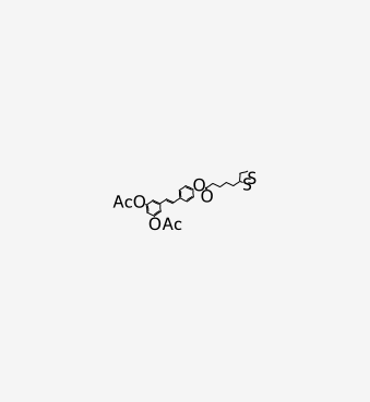 CC(=O)Oc1cc(C=Cc2ccc(OC(=O)CCCCC3CCSS3)cc2)cc(OC(C)=O)c1